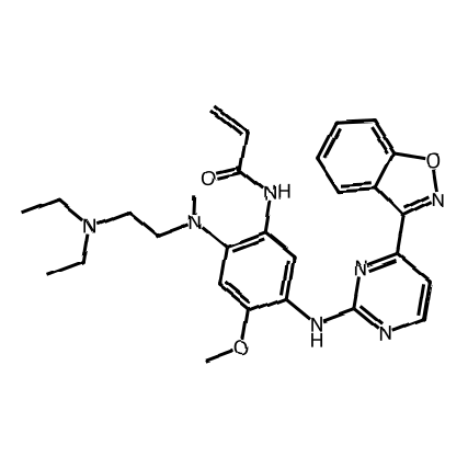 C=CC(=O)Nc1cc(Nc2nccc(-c3noc4ccccc34)n2)c(OC)cc1N(C)CCN(CC)CC